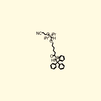 CC(C)[N+](OCCC#N)(POCCCCCC(=O)NNC(c1ccccc1)(c1ccccc1)c1ccccc1)C(C)C